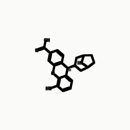 O=C(O)c1ccc2c(c1)Oc1c(O)cccc1[C@@H]2C1CC2CCC(C1)N2